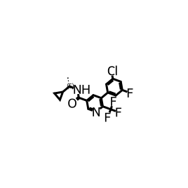 C[C@H](NC(=O)c1cnc(C(F)(F)F)c(-c2cc(F)cc(Cl)c2)c1)C1CC1